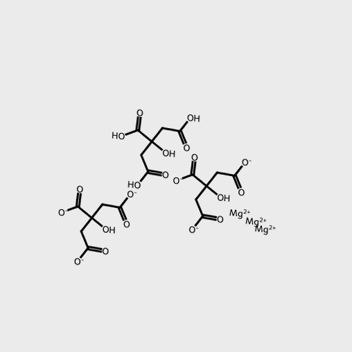 O=C(O)CC(O)(CC(=O)O)C(=O)O.O=C([O-])CC(O)(CC(=O)[O-])C(=O)[O-].O=C([O-])CC(O)(CC(=O)[O-])C(=O)[O-].[Mg+2].[Mg+2].[Mg+2]